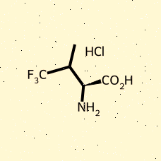 CC([C@H](N)C(=O)O)C(F)(F)F.Cl